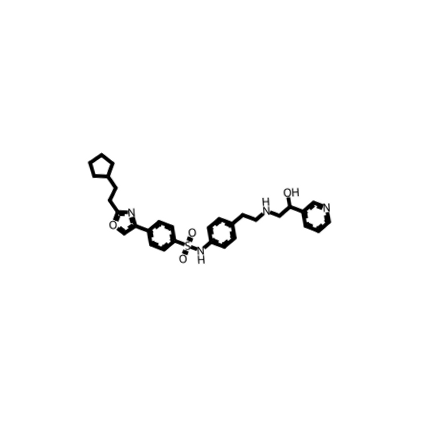 O=S(=O)(Nc1ccc(CCNCC(O)c2cccnc2)cc1)c1ccc(-c2coc(CCC3CCCC3)n2)cc1